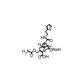 NC(=O)OCC1=C(C(=O)O)N2C(=O)[C@@H]3[C@H]2[C@H](C1)CN3C(=O)NCCc1cccs1.[NaH]